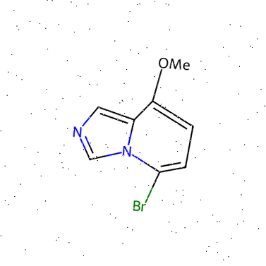 COc1ccc(Br)n2cncc12